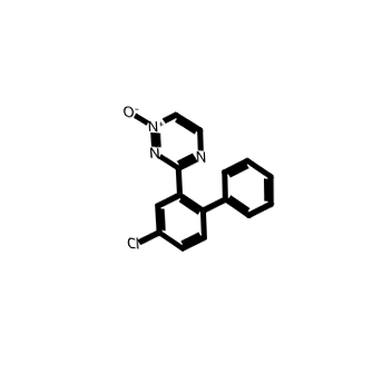 [O-][n+]1ccnc(-c2cc(Cl)ccc2-c2ccccc2)n1